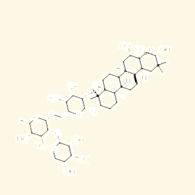 C[C@H]1O[C@@H](OC[C@H]2O[C@@H](O[C@H]3CC[C@]4(C)[C@H]5CC=C6[C@@H]7CC(C)(C)[C@@H](O)C[C@]7(C(=O)O)[C@H](O)C[C@@]6(C)[C@]5(C)CC[C@H]4C3(C)C)[C@H](O)[C@@H](O)[C@@H]2O)[C@H](O[C@@H]2OC[C@@H](O)[C@H](O)[C@H]2O)[C@@H](O)[C@H]1O